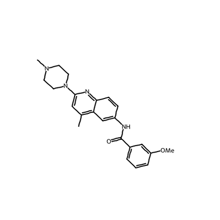 COc1cccc(C(=O)Nc2ccc3nc(N4CCN(C)CC4)cc(C)c3c2)c1